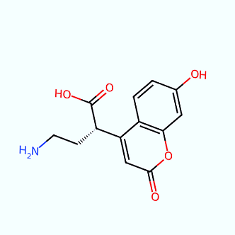 NCC[C@H](C(=O)O)c1cc(=O)oc2cc(O)ccc12